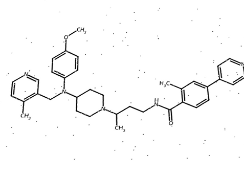 COc1ccc(N(Cc2cnccc2C)C2CCN(C(C)CCNC(=O)c3ccc(-c4ccncc4)cc3C)CC2)cc1